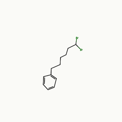 BrC(Br)CCCCCc1ccccc1